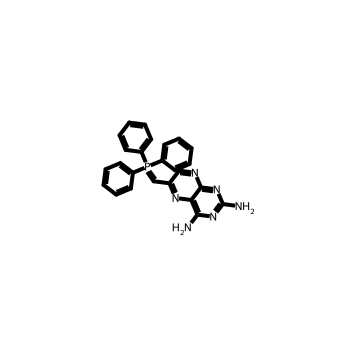 Nc1nc(N)c2nc(C=P(c3ccccc3)(c3ccccc3)c3ccccc3)cnc2n1